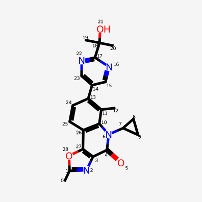 Cc1nc2c(=O)n(C3CC3)c3c(C)c(-c4cnc(C(C)(C)O)nc4)ccc3c2o1